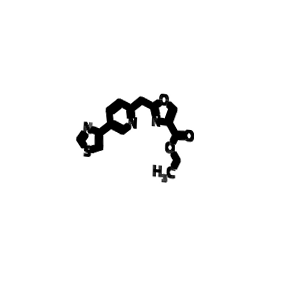 CCOC(=O)c1coc(Cc2ccc(-c3cscn3)cn2)n1